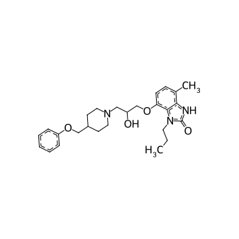 CCCn1c(=O)[nH]c2c(C)ccc(OCC(O)CN3CCC(COc4ccccc4)CC3)c21